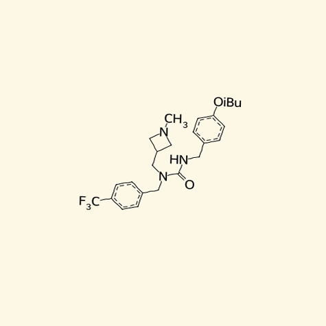 CC(C)COc1ccc(CNC(=O)N(Cc2ccc(C(F)(F)F)cc2)CC2CN(C)C2)cc1